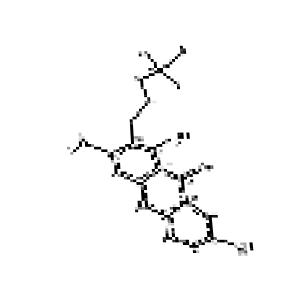 COc1cc2oc3ccc(O)cc3c(=O)c2c(O)c1CCCC(C)(C)C